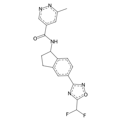 Cc1cc(C(=O)NC2CCc3cc(-c4noc(C(F)F)n4)ccc32)cnn1